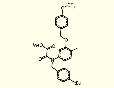 COC(=O)C(=O)N(Cc1ccc(C(C)(C)C)cc1)c1ccc(C)c(OCc2ccc(OC(F)(F)F)cc2)c1